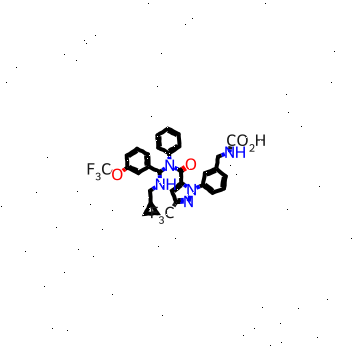 O=C(O)NCc1cccc(-n2nc(C(F)(F)F)cc2C(=O)N(c2ccccc2)C(NCC2CC2)c2cccc(OC(F)(F)F)c2)c1